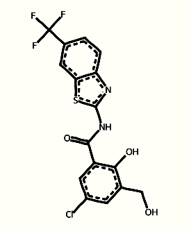 O=C(Nc1nc2ccc(C(F)(F)F)cc2s1)c1cc(Cl)cc(CO)c1O